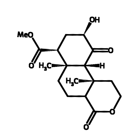 COC(=O)[C@@H]1C[C@H](O)C(=O)[C@H]2[C@@]1(C)CCC1C(=O)OCC[C@@]12C